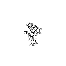 Cc1csc(S(=O)(=O)C2(c3cc(N4CCOC[C@@H]4C)nc(Cl)n3)CCCC2)n1